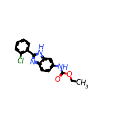 CCOC(=O)Nc1ccc2nc(-c3ccccc3Cl)[nH]c2c1